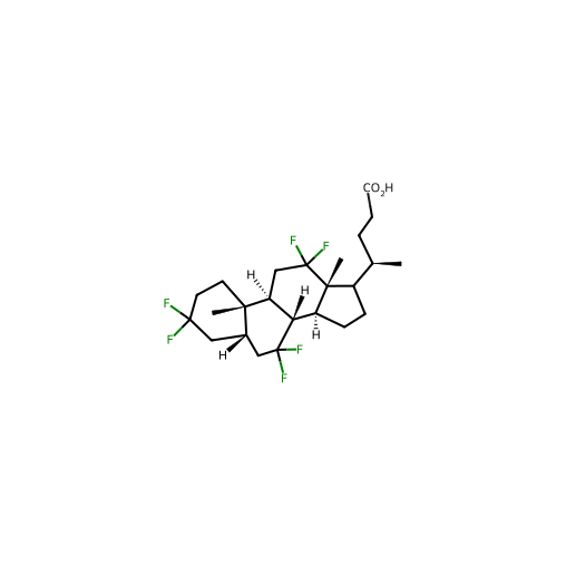 C[C@H](CCC(=O)O)C1CC[C@H]2[C@H]3[C@H](CC(F)(F)[C@]12C)[C@@]1(C)CCC(F)(F)C[C@H]1CC3(F)F